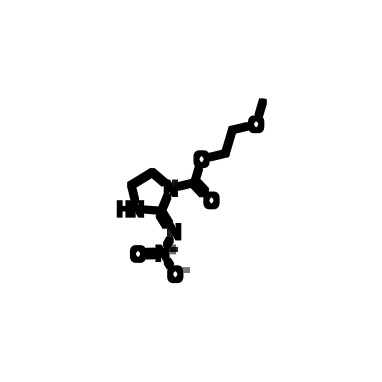 COCCOC(=O)N1CCN/C1=N\[N+](=O)[O-]